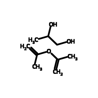 C=C(C)OC(=C)C.CC(O)CO